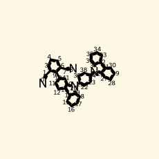 N#Cc1cccc(C#N)c1-c1ccc2c3ccccc3n(-c3ccc(-n4c5ccccc5c5ccccc54)cc3)c2c1